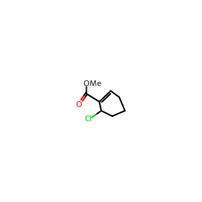 COC(=O)C1=CCCCC1Cl